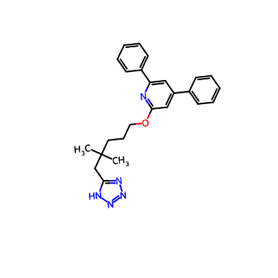 CC(C)(CCCOc1cc(-c2ccccc2)cc(-c2ccccc2)n1)Cc1nnn[nH]1